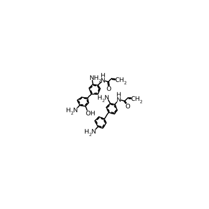 C=CC(=O)Nc1ccc(-c2ccc(N)c(O)c2)cc1N.C=CC(=O)Nc1ccc(-c2ccc(N)cc2)cc1N